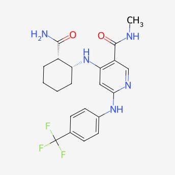 CNC(=O)c1cnc(Nc2ccc(C(F)(F)F)cc2)cc1N[C@@H]1CCCC[C@@H]1C(N)=O